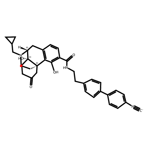 [C-]#[N+]c1ccc(-c2ccc(CCNC(=O)c3ccc4c(c3O)[C@]35CCN(CC6CC6)[C@H](C4)[C@]3(O)CCC(=O)C5)cc2)cc1